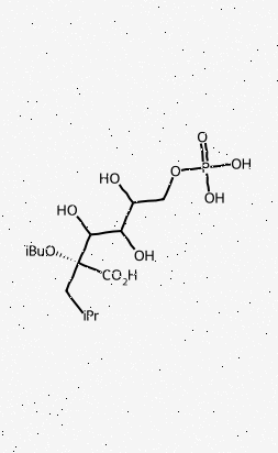 CC(C)CO[C@@](CC(C)C)(C(=O)O)C(O)C(O)C(O)COP(=O)(O)O